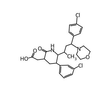 CC(CC(c1ccc(Cl)cc1)N1CCOCC1)C1NC(=O)C(CC(=O)O)CC1c1cccc(Cl)c1